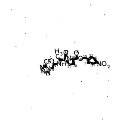 C[C@@H](NC(=O)Cn1nnnc1C(F)(F)F)C1C(=O)N2C(C(=O)OCc3ccc([N+](=O)[O-])cc3)=CCC12